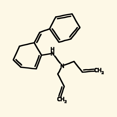 C=CCN(CC=C)NC1=CC=CCC1=Cc1ccccc1